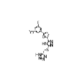 COc1cc(F)cc(-c2ccc(-c3nnc(SCc4nnn[nH]4)[nH]3)o2)c1